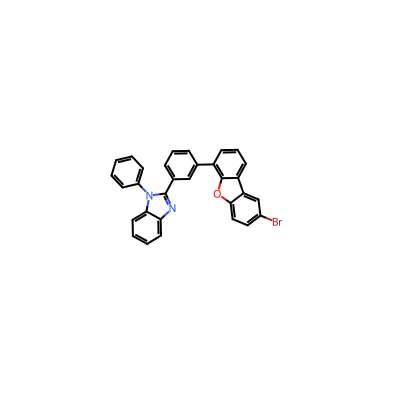 Brc1ccc2oc3c(-c4cccc(-c5nc6ccccc6n5-c5ccccc5)c4)cccc3c2c1